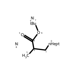 CCCCCCCCC(C)C(=O)OC(C)(C)C.[N].[N]